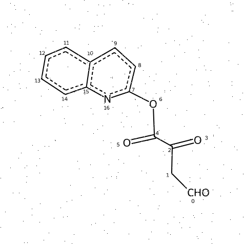 O=CCC(=O)C(=O)Oc1ccc2ccccc2n1